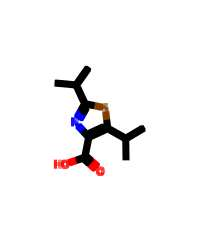 CC(C)c1nc(C(=O)O)c(C(C)C)s1